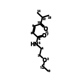 CSOCCNC(=O)/C=C\C(=O)C(C)C